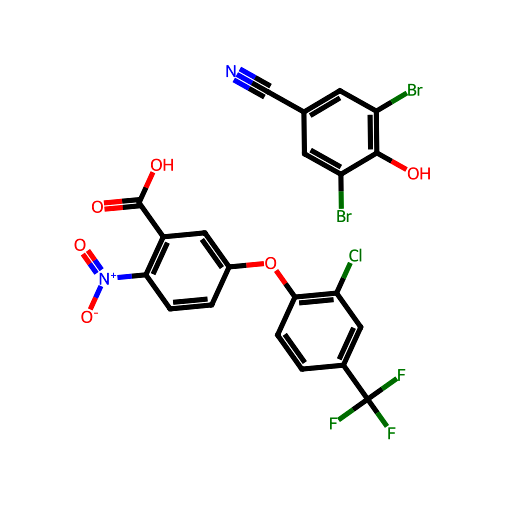 N#Cc1cc(Br)c(O)c(Br)c1.O=C(O)c1cc(Oc2ccc(C(F)(F)F)cc2Cl)ccc1[N+](=O)[O-]